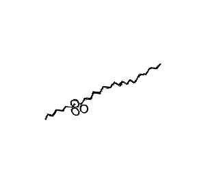 CCCCCCCCC=CCCCCCCCC(=O)OC(=O)CCCCCC